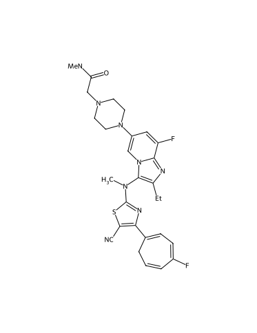 CCc1nc2c(F)cc(N3CCN(CC(=O)NC)CC3)cn2c1N(C)c1nc(C2=CC=C(F)C=CC2)c(C#N)s1